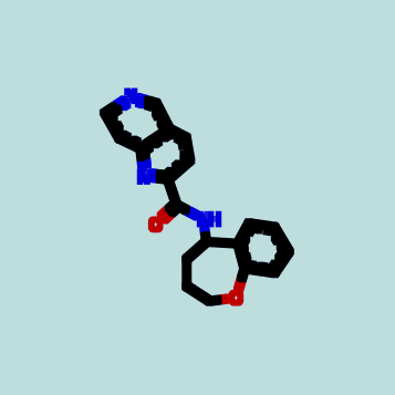 O=C(NC1CCCOc2ccccc21)c1ccc2cnccc2n1